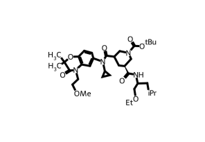 CCOCC(CC(C)C)NC(=O)[C@H]1CC(C(=O)N(c2ccc3c(c2)N(CCOC)C(=O)C(C)(C)O3)C2CC2)CN(C(=O)OC(C)(C)C)C1